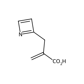 C=C(CC1=NC=C1)C(=O)O